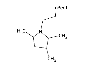 CCCCCCCN1C(C)CC(C)C1C